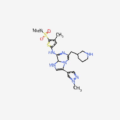 CNS(=O)(=O)c1sc(NC2=NC(CC3CCCNC3)=CN3C(c4cnn(C)c4)=CNC23)cc1C